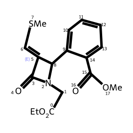 CCOC(=O)CN1C(=O)/C(=C/SC)C1c1ccccc1C(=O)OC